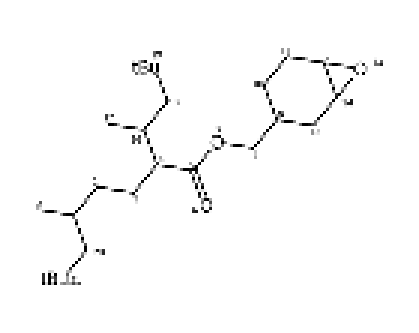 CC(CCC(C(=O)OCC1CCC2OC2C1)C(C)CC(C)(C)C)CC(C)(C)C